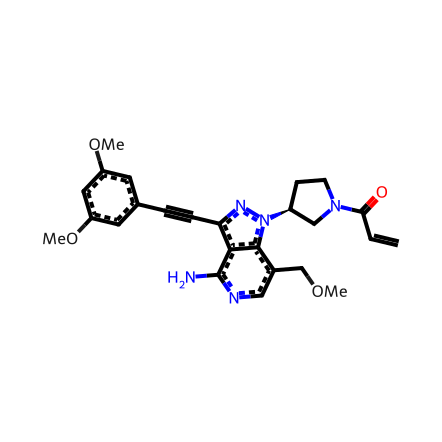 C=CC(=O)N1CC[C@H](n2nc(C#Cc3cc(OC)cc(OC)c3)c3c(N)ncc(COC)c32)C1